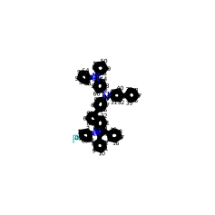 Fc1ccc(-n2c(-c3ccccc3)c(-c3ccccc3)c3ccc4c(-c5ccc(N(c6ccc(-c7ccccc7)cc6)c6ccc(N(c7ccccc7)c7ccccc7)cc6)cc5)cccc4c32)cc1